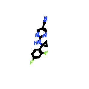 N#Cc1cnc(NC2(c3ccc(F)cc3F)CC2)nc1